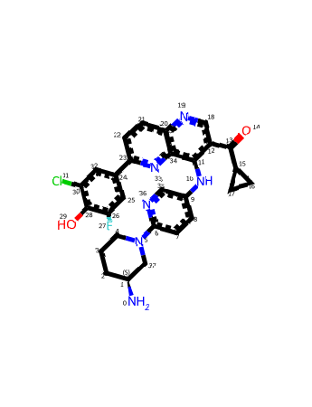 N[C@H]1CCCN(c2ccc(Nc3c(C(=O)C4CC4)cnc4ccc(-c5cc(F)c(O)c(Cl)c5)nc34)cn2)C1